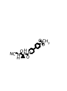 CS(=O)(=O)c1ccc(C2=CCN(C(=O)NC3(C(=O)NCC#N)CC3)CC2)cc1